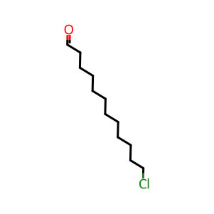 O=CCCCCCCCCCCCCl